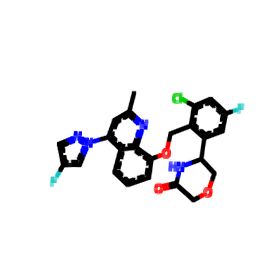 Cc1cc(-n2cc(F)cn2)c2cccc(OCc3c(Cl)cc(F)cc3C3COCC(=O)N3)c2n1